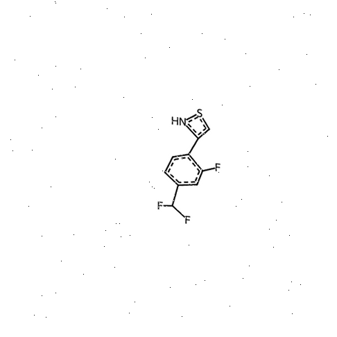 Fc1cc(C(F)F)ccc1-c1cs[nH]1